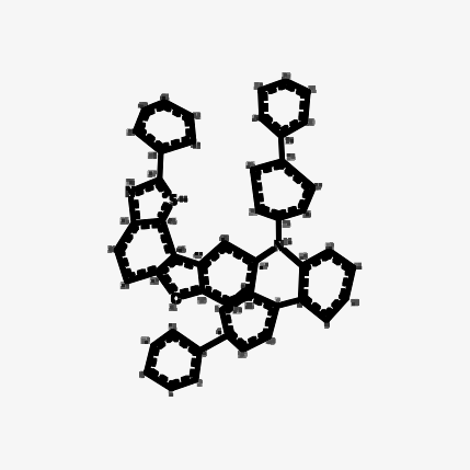 c1ccc(-c2ccc(-c3ccccc3N(c3ccc(-c4ccccc4)cc3)c3ccc4oc5ccc6nc(-c7ccccc7)sc6c5c4c3)cc2)cc1